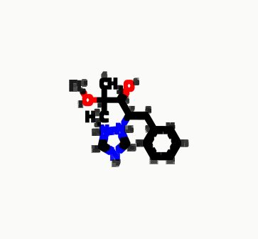 CCOC(C)(C)C(=O)/C(=C/c1ccccc1)n1cncn1